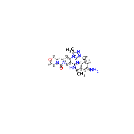 Cc1nnc2nc(N[C@H](C)c3cc(N)cc(C(F)(F)F)c3)c3c(n12)CCN(C(=O)N1CCOCC1)C3